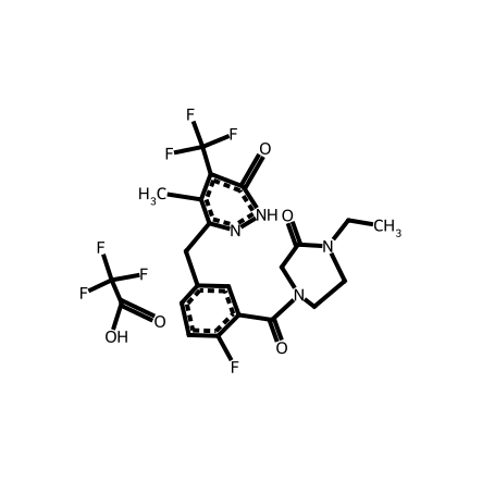 CCN1CCN(C(=O)c2cc(Cc3n[nH]c(=O)c(C(F)(F)F)c3C)ccc2F)CC1=O.O=C(O)C(F)(F)F